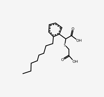 CCCCCCCCc1ccccc1C(SCC(=O)O)C(=O)O